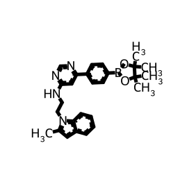 Cc1cc2ccccc2n1CCNc1cc(-c2ccc(B3OC(C)(C)C(C)(C)O3)cc2)ncn1